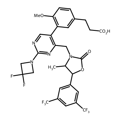 COc1ccc(CCC(=O)O)cc1-c1cnc(N2CC(F)(F)C2)nc1CN1C(=O)OC(c2cc(C(F)(F)F)cc(C(F)(F)F)c2)C1C